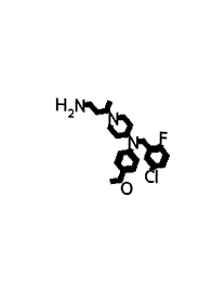 CC(=O)c1ccc(N(Cc2cc(Cl)ccc2F)C2CCN(C(C)CCN)CC2)cc1